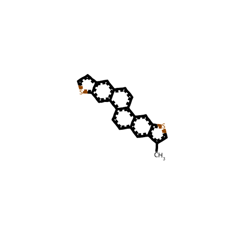 Cc1csc2cc3c(ccc4c5cc6sccc6cc5ccc34)cc12